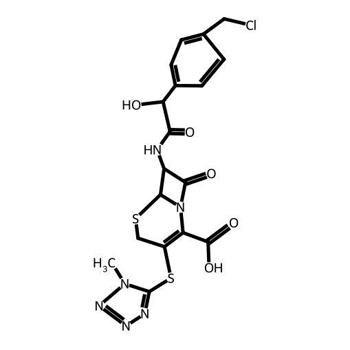 Cn1nnnc1SC1=C(C(=O)O)N2C(=O)C(NC(=O)C(O)c3ccc(CCl)cc3)C2SC1